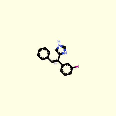 Ic1cccc(/C(=C/c2ccccc2)c2c[nH]cn2)c1